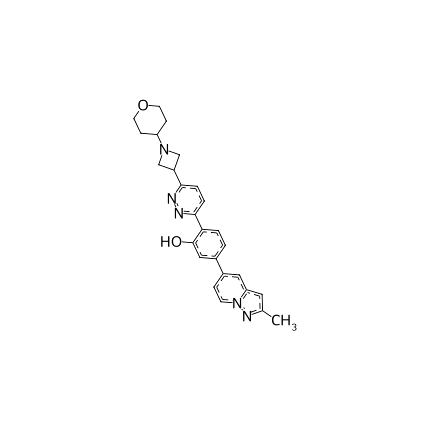 Cc1cc2cc(-c3ccc(-c4ccc(C5CN(C6CCOCC6)C5)nn4)c(O)c3)ccn2n1